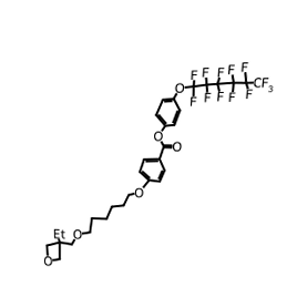 CCC1(COCCCCCCOc2ccc(C(=O)Oc3ccc(OC(F)(F)C(F)(F)C(F)(F)C(F)(F)C(F)(F)C(F)(F)F)cc3)cc2)COC1